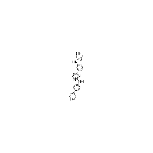 C=CC(=O)Nc1cccc(-c2ccnc(Nc3ccc(N4CCOCC4)cc3)n2)c1